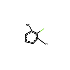 [CH2]C(C)c1cccc(C#N)c1F